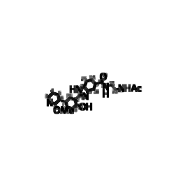 COc1ncccc1-c1ccc(O)c(-c2nc3cc(C(=O)NCCNC(C)=O)ccc3[nH]2)c1